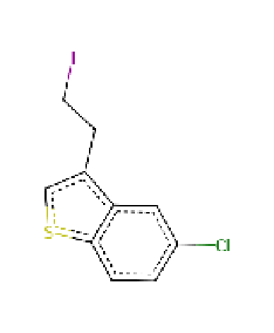 Clc1ccc2scc(CCI)c2c1